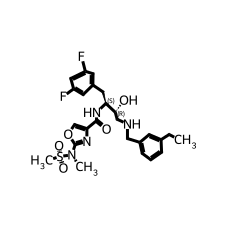 CCc1cccc(CNC[C@@H](O)[C@H](Cc2cc(F)cc(F)c2)NC(=O)c2coc(N(C)S(C)(=O)=O)n2)c1